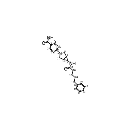 NC(=O)c1cnc(N2CC3C(C2)C3NC(=O)CCCCc2ccccc2)nc1